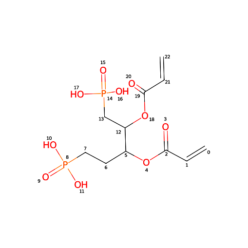 C=CC(=O)OC(CCP(=O)(O)O)C(CP(=O)(O)O)OC(=O)C=C